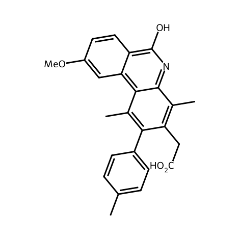 COc1ccc2c(O)nc3c(C)c(CC(=O)O)c(-c4ccc(C)cc4)c(C)c3c2c1